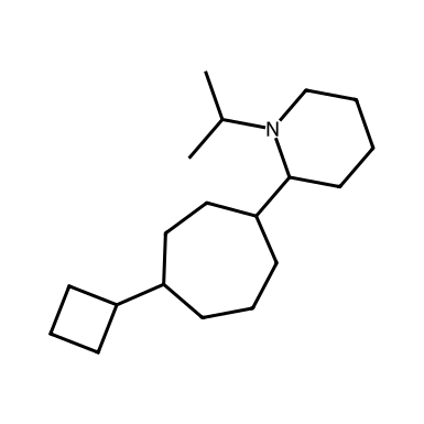 CC(C)N1CCCCC1C1CCCC(C2CCC2)CC1